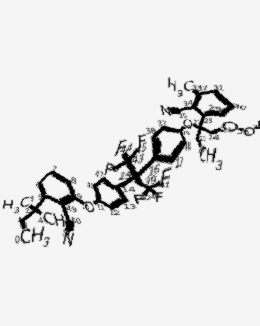 CCC(C)(C)c1cccc(Oc2ccc(C(c3ccc(OC(CC)(COOF)c4cccc(C)c4C#N)cc3)(C(F)(F)F)C(F)(F)F)cc2)c1C#N